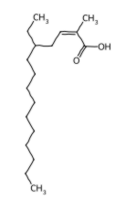 CCCCCCCCCCC(CC)CC=C(C)C(=O)O